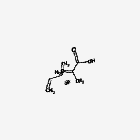 C=C(C)C(=O)O.C=CC=C.[LiH]